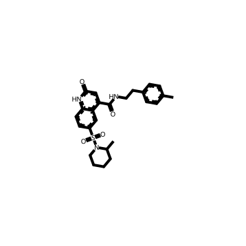 Cc1ccc(CCNC(=O)c2cc(=O)[nH]c3ccc(S(=O)(=O)N4CCCCC4C)cc23)cc1